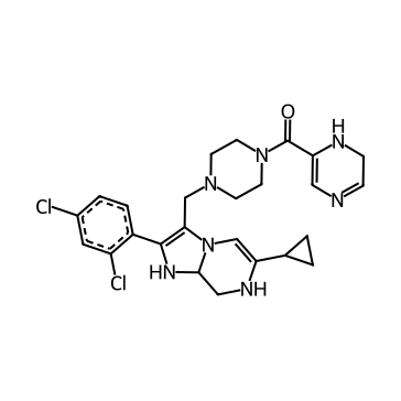 O=C(C1=CN=CCN1)N1CCN(CC2=C(c3ccc(Cl)cc3Cl)NC3CNC(C4CC4)=CN23)CC1